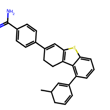 CC1C=C(c2cccc3sc4c(c23)CCC(c2ccc(C(=N)N)cc2)=C4)C=CC1